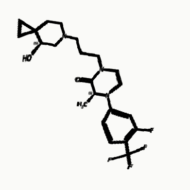 C[C@H]1C(=O)N(CCCN2CCC3(CC3)[C@H](O)C2)CCN1c1ccc(C(F)(F)F)c(F)c1